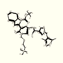 Cc1noc(C)c1Cn1cc(C(=O)Nc2cc(-c3cc4ccccc4n3C(=O)OC(C)(C)C)c(=O)n(COCC[Si](C)(C)C)c2)cn1